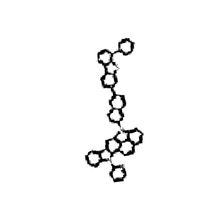 c1ccc(-c2cccc3c2sc2cc(-c4ccc5cc(-n6c7cccc8ccc9c(c87)c6cc6c7ccccc7n(-c7ccccn7)c69)ccc5c4)ccc23)cc1